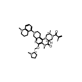 C=C(F)C(=O)N1C[C@@H]2C(=O)N(C)c3c(OC[C@@H]4CCCN4C)nc4c(c3N2C[C@H]1C)CCN(c1cccc2c1CCCN2C)C4